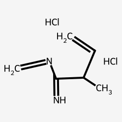 C=CC(C)C(=N)N=C.Cl.Cl